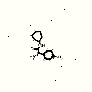 C[C@@H](C(=O)NC1CCCCC1)c1ccc(N)cc1